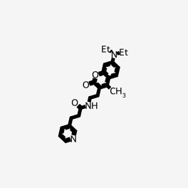 CCN(CC)c1ccc2c(C)c(CCNC(=O)CCc3cccnc3)c(=O)oc2c1